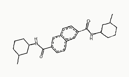 CC1CCCC(NC(=O)c2ccc3cc(C(=O)NC4CCCC(C)C4)ccc3c2)C1